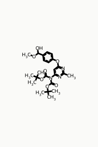 COC(O)c1ccc(Oc2cc(N(C(=O)OC(C)(C)C)C(=O)OC(C)(C)C)nc(C)n2)cc1